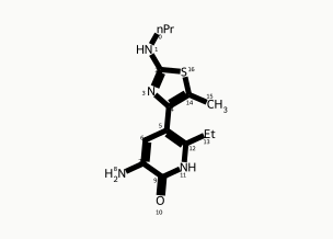 CCCNc1nc(-c2cc(N)c(=O)[nH]c2CC)c(C)s1